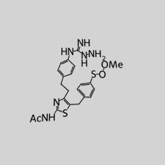 COOSc1ccc(Cc2sc(NC(C)=O)nc2CCc2ccc(NC(=N)NN)cc2)cc1